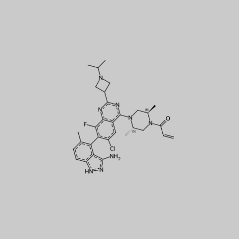 C=CC(=O)N1C[C@H](C)N(c2nc(C3CN(C(C)C)C3)nc3c(F)c(-c4c(C)ccc5[nH]nc(N)c45)c(Cl)cc23)C[C@H]1C